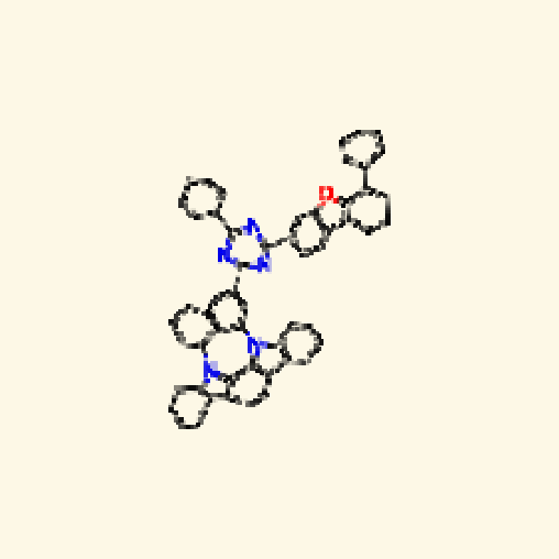 c1ccc(-c2nc(-c3cccc(-n4c5ccccc5c5ccc6c7ccccc7n(-c7ccccc7)c6c54)c3)nc(-c3ccc4c(c3)oc3c(-c5ccccc5)cccc34)n2)cc1